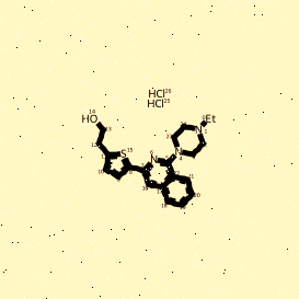 CCN1CCN(c2nc(-c3ccc(CCO)s3)cc3ccccc23)CC1.Cl.Cl